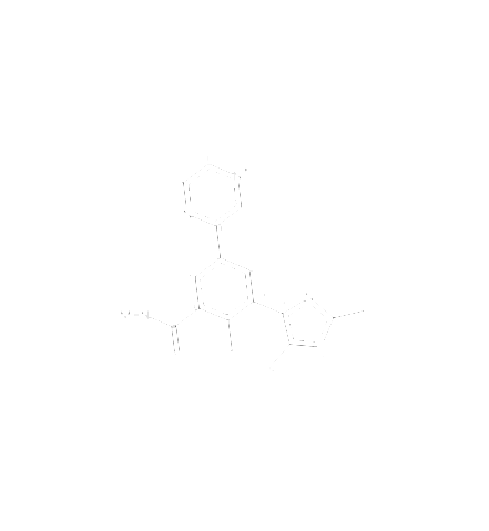 CNC(=O)c1cc(-c2cnccn2)cc(-c2nc(C)oc2C)c1C